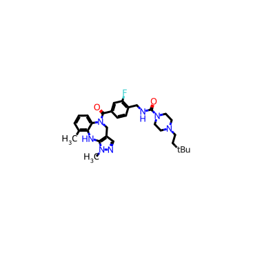 Cc1cccc2c1Nc1c(cnn1C)CN2C(=O)c1ccc(CNC(=O)N2CCN(CCC(C)(C)C)CC2)c(F)c1